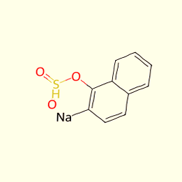 O=[SH](=O)Oc1[c]([Na])ccc2ccccc12